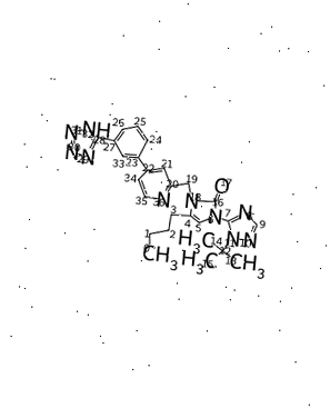 CCCCc1cn(-c2ncnn2C(C)(C)C)c(=O)n1Cc1cc(-c2cccc(-c3nnn[nH]3)c2)ccn1